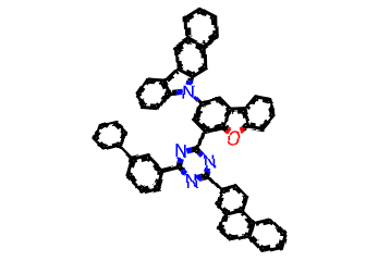 c1ccc(-c2cccc(-c3nc(-c4ccc5c(ccc6ccccc65)c4)nc(-c4cc(-n5c6ccccc6c6cc7ccccc7cc65)cc5c4oc4ccccc45)n3)c2)cc1